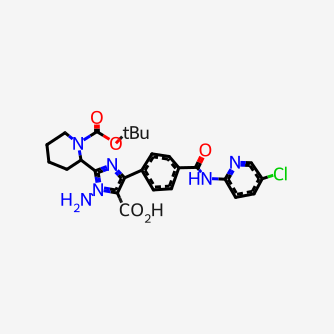 CC(C)(C)OC(=O)N1CCCCC1c1nc(-c2ccc(C(=O)Nc3ccc(Cl)cn3)cc2)c(C(=O)O)n1N